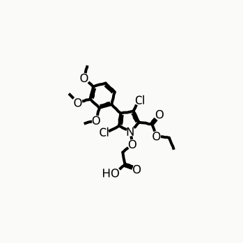 CCOC(=O)c1c(Cl)c(-c2ccc(OC)c(OC)c2OC)c(Cl)n1OCC(=O)O